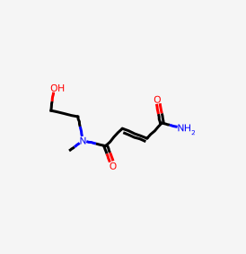 CN(CCO)C(=O)/C=C/C(N)=O